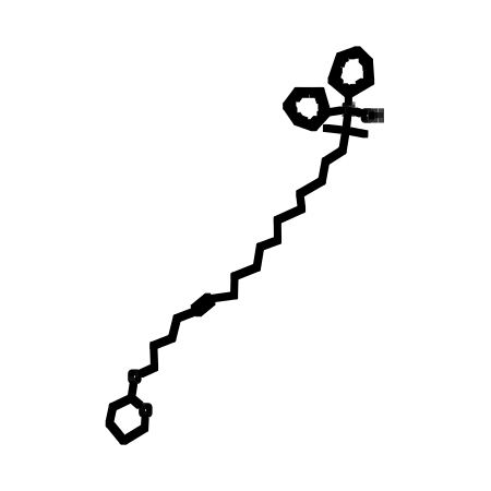 CC(C)(CCCCCCCCCCCC#CCCCCOC1CCCCO1)[Si](O)(c1ccccc1)c1ccccc1